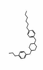 CCCCCCc1ccc(CC2CCC(Cc3ccc(CCC)cc3)CC2)cc1